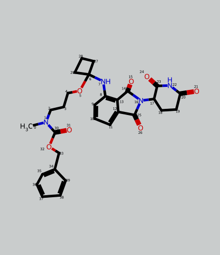 CN(CCCOC1(Nc2cccc3c2C(=O)N(C2CCC(=O)NC2=O)C3=O)CCC1)C(=O)OCc1ccccc1